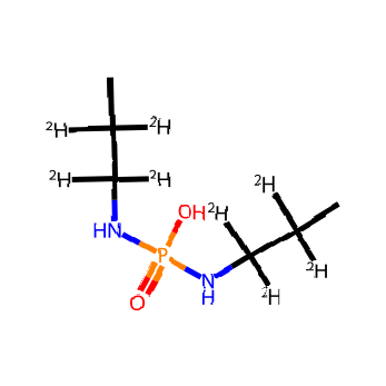 [2H]C([2H])(C)C([2H])([2H])NP(=O)(O)NC([2H])([2H])C([2H])([2H])C